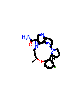 C[C@H]1CCNc2c(C(N)=O)cnc3ccc(nc23)N2CCC[C@@H]2c2cc(F)ccc2O1